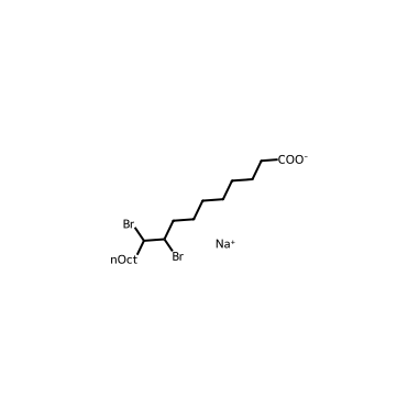 CCCCCCCCC(Br)C(Br)CCCCCCCC(=O)[O-].[Na+]